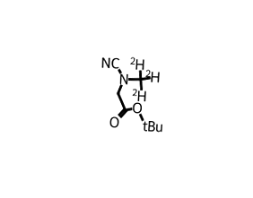 [2H]C([2H])([2H])N(C#N)CC(=O)OC(C)(C)C